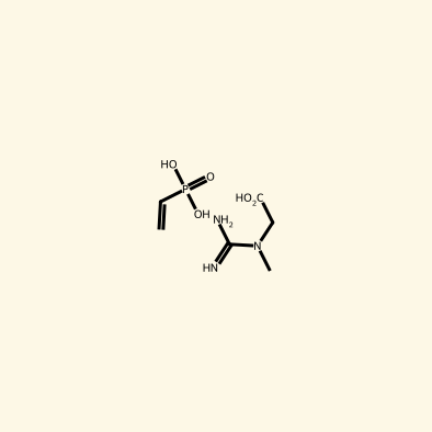 C=CP(=O)(O)O.CN(CC(=O)O)C(=N)N